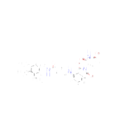 Cc1cc(CNC(=O)CCCNc2cccc3c2C(=O)N(C2CCC(=O)NC2=O)C3=O)cc(C)c1C